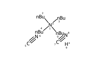 CCCC[N+](CCCC)(CCCC)CCCC.[C-]#N.[C-]#N.[H+]